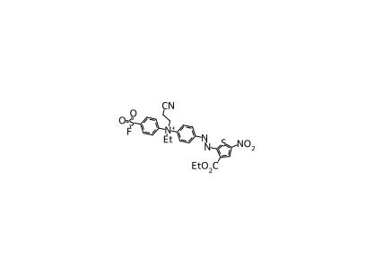 CCOC(=O)c1cc([N+](=O)[O-])sc1N=Nc1ccc([N+](CC)(CCC#N)c2ccc(S(=O)(=O)F)cc2)cc1